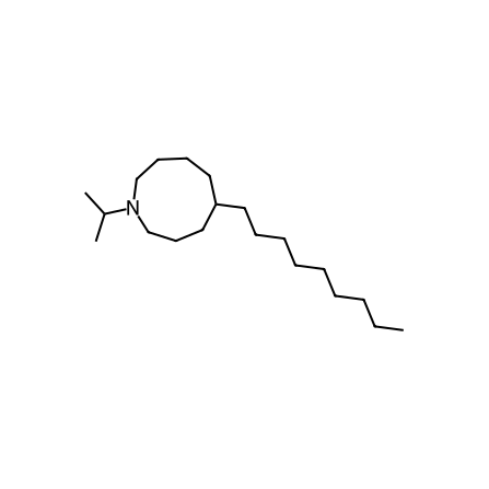 CCCCCCCCCC1CCCCN(C(C)C)CCC1